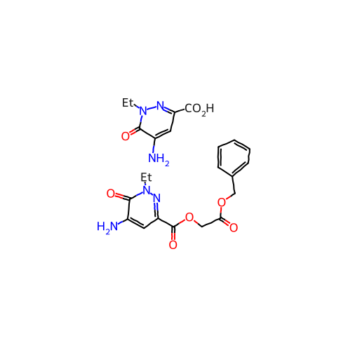 CCn1nc(C(=O)O)cc(N)c1=O.CCn1nc(C(=O)OCC(=O)OCc2ccccc2)cc(N)c1=O